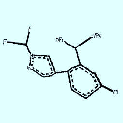 CCCC(CCC)c1cc(Cl)ccc1-c1cnn(C(F)F)c1